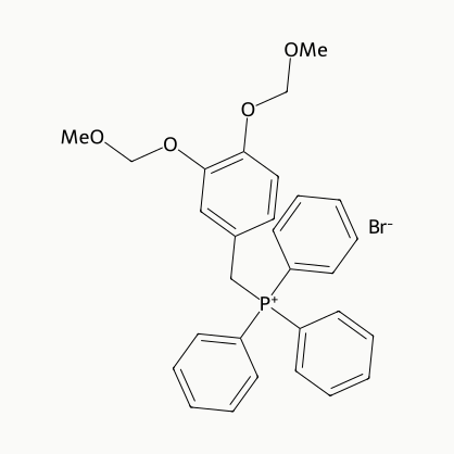 COCOc1ccc(C[P+](c2ccccc2)(c2ccccc2)c2ccccc2)cc1OCOC.[Br-]